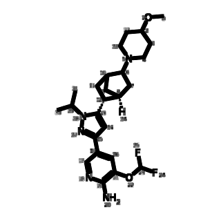 COC1CCN(C2C[C@@H]3CC2C[C@H]3c2cc(-c3cnc(N)c(OC(F)F)c3)nn2C(C)C)CC1